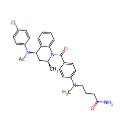 CC(=O)N(c1ccc(Cl)cc1)[C@@H]1C[C@H](C)N(C(=O)c2ccc(N(C)CCCC(N)=O)cc2)c2ccccc21